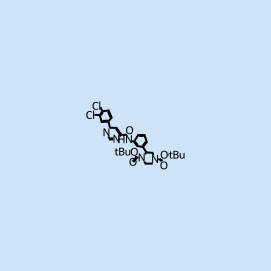 CC(C)(C)OC(=O)N1CCN(C(=O)OC(C)(C)C)C(c2cccc(NC(=O)c3cc(-c4ccc(Cl)c(Cl)c4)ncn3)c2)C1